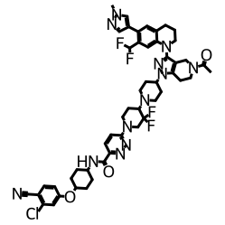 CC(=O)N1CCc2c(c(N3CCCc4cc(-c5cnn(C)c5)c(C(F)F)cc43)nn2C2CCN(C3CCN(c4ccc(C(=O)NC5CCC(Oc6ccc(C#N)c(Cl)c6)CC5)nn4)CC3(F)F)CC2)C1